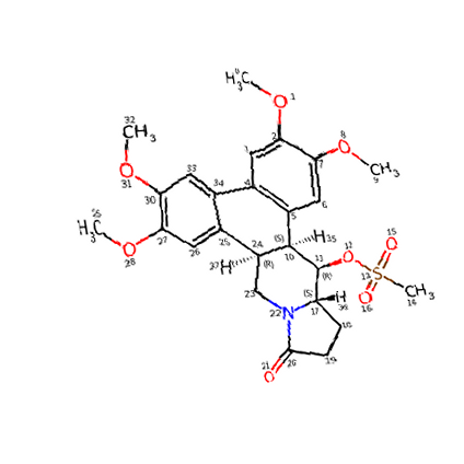 COc1cc2c(cc1OC)[C@H]1[C@@H](OS(C)(=O)=O)[C@@H]3CCC(=O)N3C[C@H]1c1cc(OC)c(OC)cc1-2